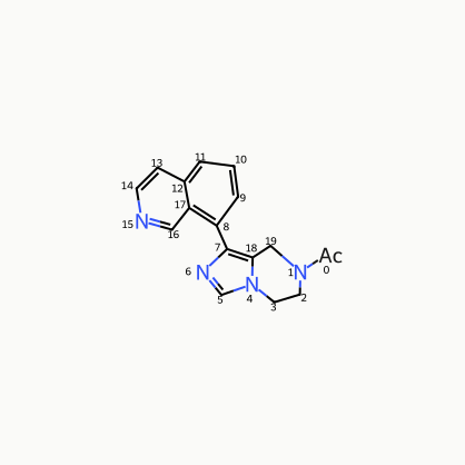 CC(=O)N1CCn2cnc(-c3cccc4ccncc34)c2C1